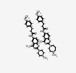 Cc1nc(N2CCCN(C)CC2)nc2ccc(NC(=O)CCc3ccc(OC(F)(F)F)cc3)cc12.Cc1nc(N2CCN(C)CC2)nc2ccc(NC(=O)CCc3ccc(OC(F)(F)F)cc3)cc12